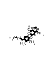 CCOCCc1ccc(OC(Cl)Cc2c(N)ncnc2CC)c(C)c1C